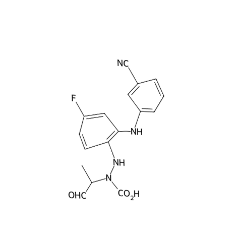 CC(C=O)N(Nc1ccc(F)cc1Nc1cccc(C#N)c1)C(=O)O